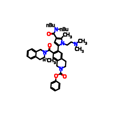 CCCCN(CCCC)C(=O)c1cc(-c2cc3c(cc2C(=O)N2Cc4ccccc4C[C@H]2C)CN(C(=O)Oc2ccccc2)CC3)n(CCN(C)C)c1C